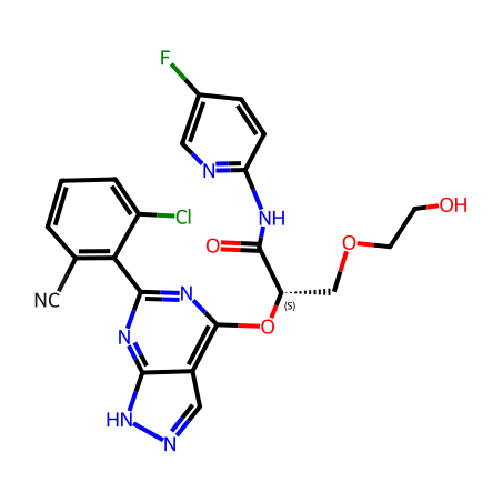 N#Cc1cccc(Cl)c1-c1nc(O[C@@H](COCCO)C(=O)Nc2ccc(F)cn2)c2cn[nH]c2n1